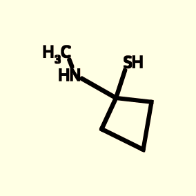 CNC1(S)CCC1